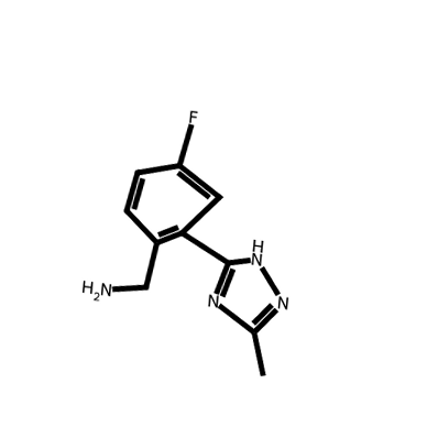 Cc1n[nH]c(-c2cc(F)ccc2CN)n1